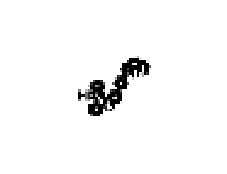 C1=Cc2ccc3ccc(-c4ccc(-c5ccc6oc7c(c6c5)N5c6ccccc6NC5c5ccccc5-7)cc4)nc3c2NC1